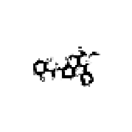 CCOC(=O)c1cnc2c(NC(=O)c3c(Cl)cccc3Cl)cccc2c1C(S)c1ccncc1